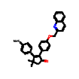 COc1ccc(C2=C(c3ccc(OCc4ccc5ccccc5n4)cc3)C(=O)CC2(C)C)cc1